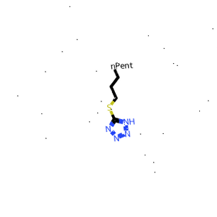 CCCCCCCCSc1nnn[nH]1